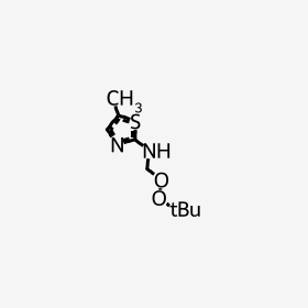 Cc1cnc(NCOOC(C)(C)C)s1